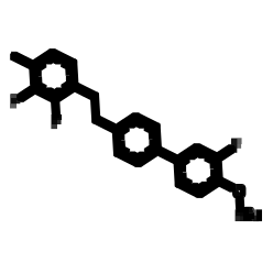 CCCCOc1ccc(-c2ccc(CCc3ccc(C)c(F)c3F)cc2)cc1F